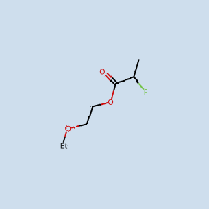 CCOC[CH]OC(=O)C(C)F